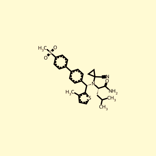 Cc1ccsc1[C@H](c1ccc(-c2ccc(S(C)(=O)=O)cc2)cc1)N([C@@H](CC(C)C)C(N)=O)C1(C#N)CC1